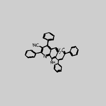 C=C(/C=C(/c1ccccc1)c1ccc2c(-c3ccccc3)c(C#N)c(-c3ccccc3)nc2c1N)c1ccccc1